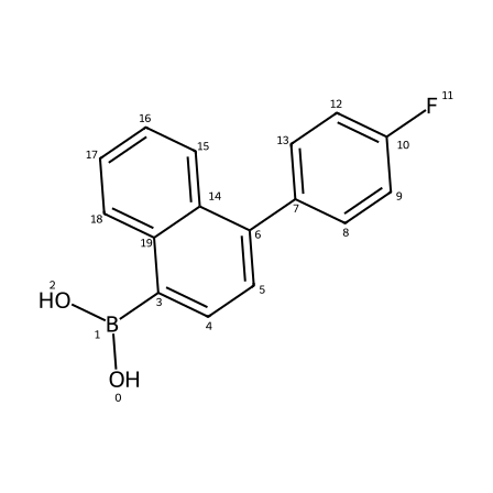 OB(O)c1ccc(-c2ccc(F)cc2)c2ccccc12